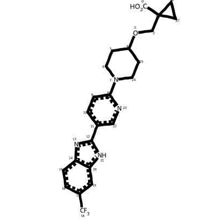 O=C(O)C1(COC2CCN(c3ccc(-c4nc5ccc(C(F)(F)F)cc5[nH]4)cn3)CC2)CC1